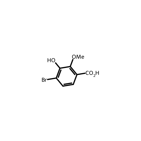 COc1c(C(=O)O)ccc(Br)c1O